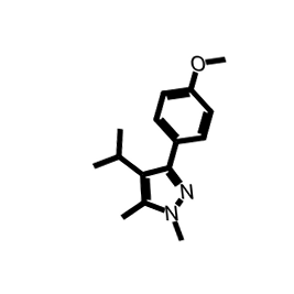 COc1ccc(-c2nn(C)c(C)c2C(C)C)cc1